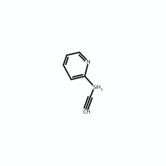 C#C[SiH2]c1ccccn1